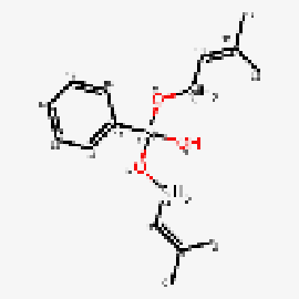 CC(C)=C[SiH2]O[Si](O)(O[SiH2]C=C(C)C)c1ccccc1